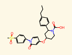 CCCc1ccc(C2CC(Oc3ccn(-c4ccc(S(C)(=O)=O)cc4)c(=O)c3)CCN2C(=O)O)cc1